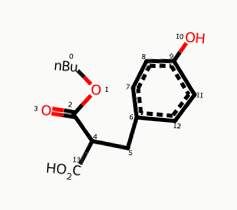 CCCCOC(=O)C(Cc1ccc(O)cc1)C(=O)O